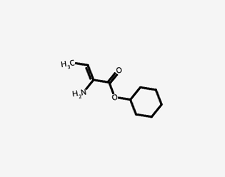 CC=C(N)C(=O)OC1CCCCC1